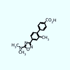 Cc1cc(-c2noc(N(C)C)n2)ccc1-c1ccc(C(=O)O)cc1